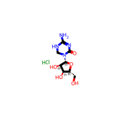 Cl.NC1=NC(=O)N([C@@H]2O[C@H](CO)[C@@H](O)[C@H]2O)CN1